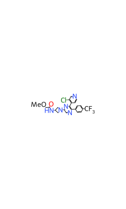 COCC(=O)NC1CN(c2cnc(-c3ccc(C(F)(F)F)cc3)c(-c3ccncc3Cl)n2)C1